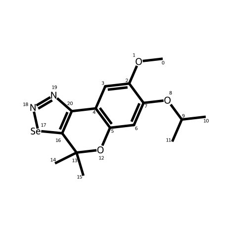 COc1cc2c(cc1OC(C)C)OC(C)(C)c1[se]nnc1-2